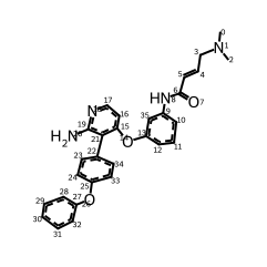 CN(C)CC=CC(=O)Nc1cccc(Oc2ccnc(N)c2-c2ccc(Oc3ccccc3)cc2)c1